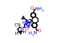 N#CC1C[C@@H]2C[C@@H]2N1C(=O)CN[C@@H](CC1(c2nnn[nH]2)c2ccc(C(N)=O)cc2CCc2cc(C(N)=O)ccc21)C1CC1